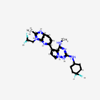 CNc1nc(NC2CCC(F)(F)CC2)nn2ccc(-c3ccc4nc(C)n(CC(F)F)c4n3)c12